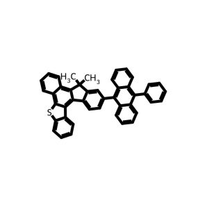 CC1(C)c2cc(-c3c4ccccc4c(-c4ccccc4)c4ccccc34)ccc2-c2c1c1ccccc1c1sc3ccccc3c21